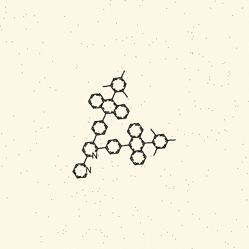 Cc1cc(C)c(-c2c3ccccc3c(-c3ccc(-c4ccc(-c5ccccn5)nc4-c4ccc(-c5c6ccccc6c(-c6c(C)cc(C)cc6C)c6ccccc56)cc4)cc3)c3ccccc23)c(C)c1